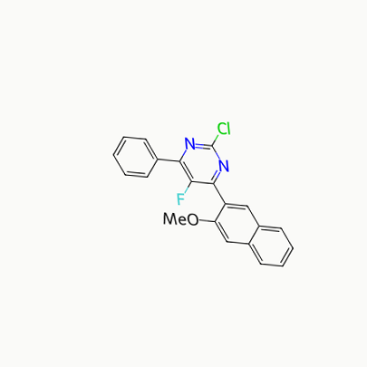 COc1cc2ccccc2cc1-c1nc(Cl)nc(-c2ccccc2)c1F